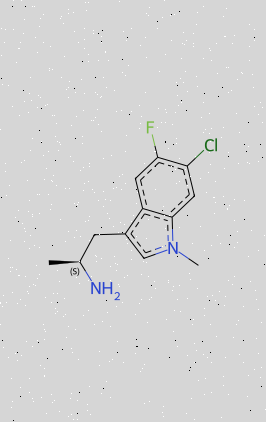 C[C@H](N)Cc1cn(C)c2cc(Cl)c(F)cc12